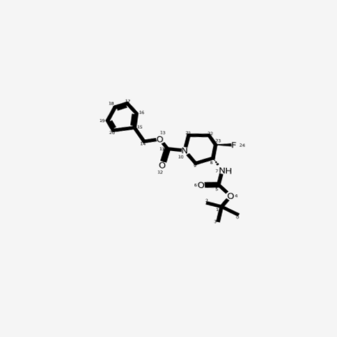 CC(C)(C)OC(=O)N[C@@H]1CN(C(=O)OCc2ccccc2)CC[C@H]1F